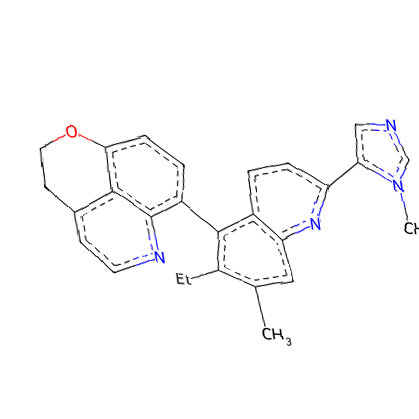 CCc1c(C)cc2nc(-c3cncn3C)ccc2c1-c1ccc2c3c(ccnc13)CCO2